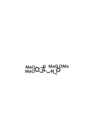 COc1ccc(C(C)CN(C)C/C=C\CN2C=Cc3cc(OC)c(OC)cc3CC2=O)cc1OC